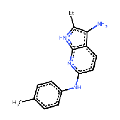 CCc1[nH]c2nc(Nc3ccc(C)cc3)ccc2c1N